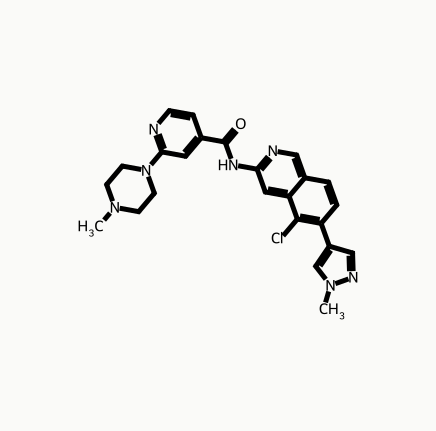 CN1CCN(c2cc(C(=O)Nc3cc4c(Cl)c(-c5cnn(C)c5)ccc4cn3)ccn2)CC1